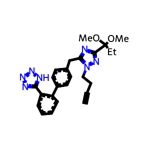 C#CCCn1nc(C(CC)(OC)OC)nc1Cc1ccc(-c2ccccc2-c2nnn[nH]2)cc1